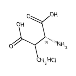 CC(C(=O)O)[C@@H](N)C(=O)O.Cl